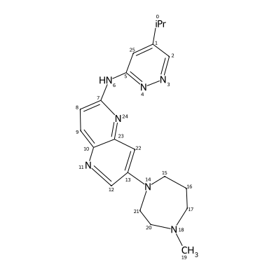 CC(C)c1cnnc(Nc2ccc3ncc(N4CCCN(C)CC4)cc3n2)c1